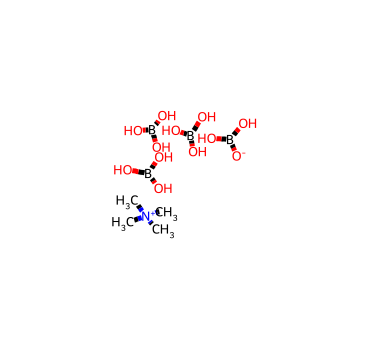 C[N+](C)(C)C.OB(O)O.OB(O)O.OB(O)O.[O-]B(O)O